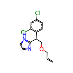 C=CCOCC(c1ncc[nH]1)c1ccc(Cl)cc1Cl